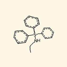 CCNS(c1ccccc1)(c1ccccc1)c1ccccc1